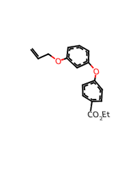 C=CCOc1cccc(Oc2ccc(C(=O)OCC)cc2)c1